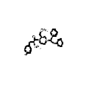 COCC1CN(C(Cc2ccccc2)c2ccccc2)CCN1C(=O)C(N)Cc1ccc(F)cc1